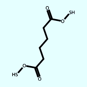 O=C(CCCCC(=O)OS)OS